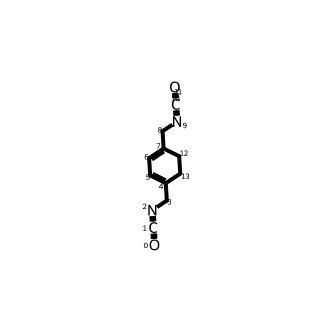 O=C=NCC1=CC=C(CN=C=O)CC1